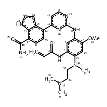 C=CC(=O)Nc1cc(Nc2nccc(-c3ccc(C(N)=O)c4[nH]ccc34)n2)c(OC)cc1N(C)CCN(C)C